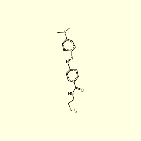 CN(C)c1ccc(N=Nc2ccc(C(=O)NCCN)cc2)cc1